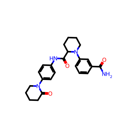 NC(=O)c1cccc(N2CCCCC2C(=O)Nc2ccc(N3CCCCC3=O)cc2)c1